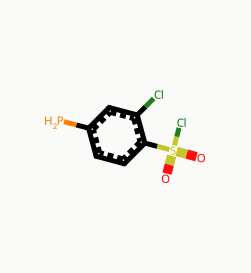 O=S(=O)(Cl)c1ccc(P)cc1Cl